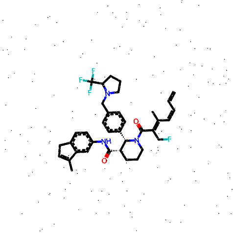 C=C/C=C\C(C)=C(/CF)C(=O)N1CCC[C@H](C(=O)Nc2ccc3c(c2)C(C)=CC3)[C@@H]1c1ccc(CN2CCCC2C(F)(F)F)cc1